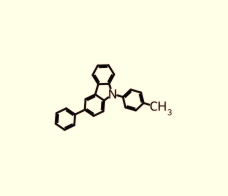 Cc1ccc(-n2c3ccccc3c3cc(-c4ccccc4)ccc32)cc1